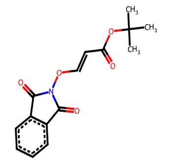 CC(C)(C)OC(=O)C=CON1C(=O)c2ccccc2C1=O